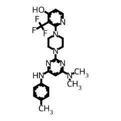 Cc1ccc(Nc2cc(N(C)C)nc(N3CCN(c4nccc(O)c4C(F)(F)F)CC3)n2)cc1